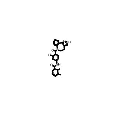 Cc1c(F)cccc1C(=O)Nc1ccc(C(=O)N2CCc3c[nH]nc3-c3ccccc32)c(Cl)c1